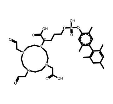 CC1=CC(C)CC(C)=C1c1cc(C)c(OP(=O)(O)OCCC[C@H](C(=O)O)N2CCN(CC=O)CCN(CC=O)CCN(CC(=O)O)CC2)cc1C